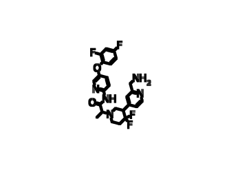 CC(C(=O)Nc1ccc(Oc2ccc(F)cc2F)cn1)N1CCC(F)(F)C(c2ccnc(CN)c2)C1